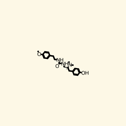 COc1ccc(CCNC(=O)NC[C@H](Cc2ccc(O)cc2)N(C)C)cc1